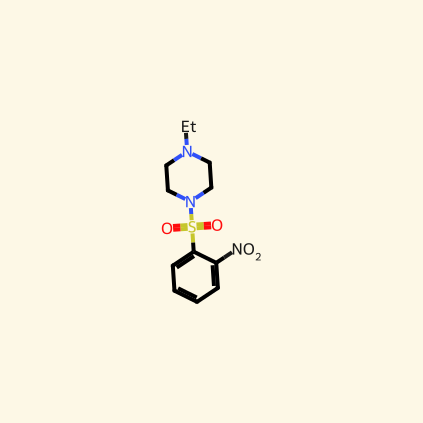 [CH2]CN1CCN(S(=O)(=O)c2ccccc2[N+](=O)[O-])CC1